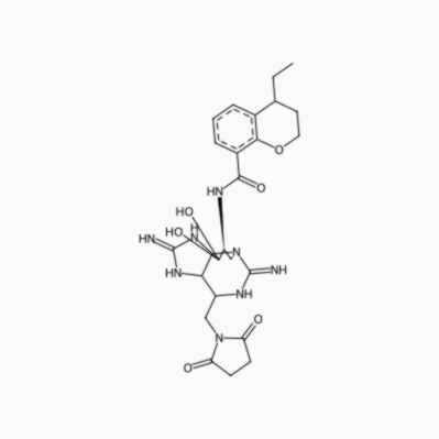 CCC1CCOc2c(C(=O)N[C@H]3CN4C(=N)NC(CN5C(=O)CCC5=O)C5NC(=N)NC54C3(O)O)cccc21